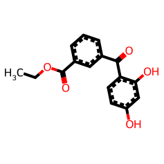 CCOC(=O)c1cccc(C(=O)c2ccc(O)cc2O)c1